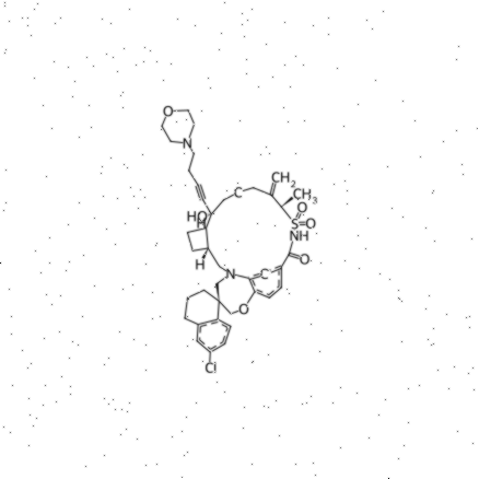 C=C1CCC[C@](O)(C#CCCN2CCOCC2)[C@@H]2CC[C@H]2CN2C[C@@]3(CCCc4cc(Cl)ccc43)COc3ccc(cc32)C(=O)NS(=O)(=O)[C@@H]1C